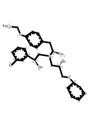 CCOC(=O)COc1ccc(C[C@@H](C)N(C[C@H](O)COc2ccccc2)C[C@@H](O)c2cccc(Cl)c2)cc1